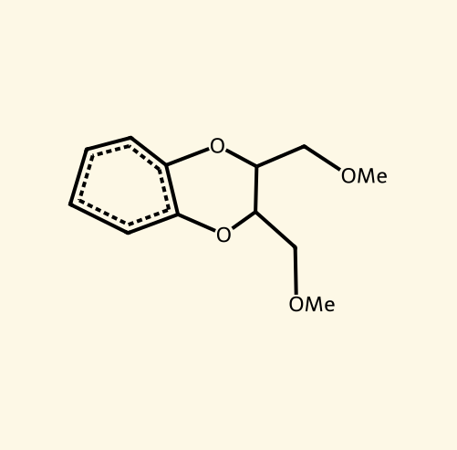 COCC1Oc2ccccc2OC1COC